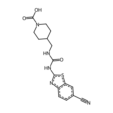 N#Cc1ccc2nc(NC(=O)NCC3CCN(C(=O)O)CC3)sc2c1